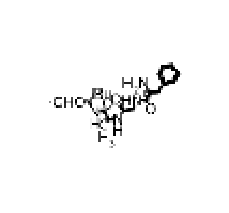 CC[C@H](C)[C@@H]([C]=O)NC(=O)[C@H](C)NC(=O)CNC(=O)[C@@H](N)Cc1ccccc1